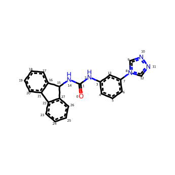 O=C(Nc1cccc(-n2cnnc2)c1)NC1c2ccccc2-c2ccccc21